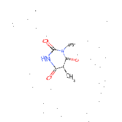 CC1C(=O)NC(=O)N(C(C)C)C1=O